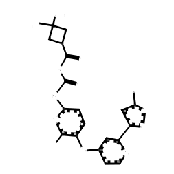 Cc1cc(-c2cc(Oc3ccc(NC(=O)NC(=O)C4CC(C)(C)C4)nc3C)ccn2)on1